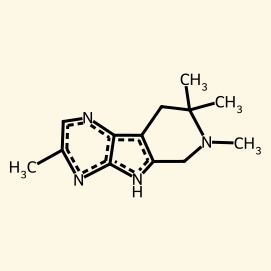 Cc1cnc2c3c([nH]c2n1)CN(C)C(C)(C)C3